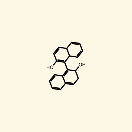 OC1=C(C2=c3ccccc3=CCC2O)C2C=CC=CC2C=C1